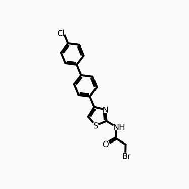 O=C(CBr)Nc1nc(-c2ccc(-c3ccc(Cl)cc3)cc2)cs1